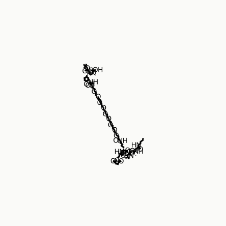 CCCCNC(=O)CNC(=O)[C@H](C)NC(=O)[C@@H](NC(=O)[C@H](CCCCNC(=O)COCCOCCOCCOCCOCCOCCOCCOCCOCCOC(=O)Nc1cc(C[C@@H](C[C@H](C)C(=O)O)NC(=O)OC(C)(C)C)ccc1O)NC(=O)CCCN1C(=O)C=CC1=O)C(C)C